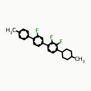 Cc1ccc(-c2ccc(-c3ccc(C4CCC(C)CC4)c(F)c3F)cc2F)cc1